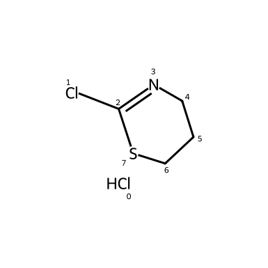 Cl.ClC1=NCCCS1